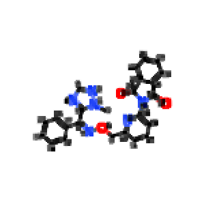 Cn1ncnc1C(=NOCc1cccc(N2C(=O)c3ccccc3C2=O)n1)c1ccccc1